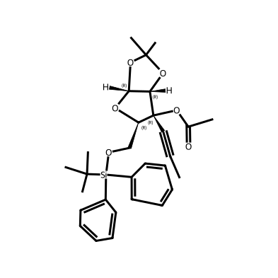 CC#C[C@@]1(OC(C)=O)[C@@H](CO[Si](c2ccccc2)(c2ccccc2)C(C)(C)C)O[C@@H]2OC(C)(C)O[C@@H]21